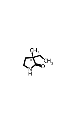 CC[C@@]1(C)CCNC1=O